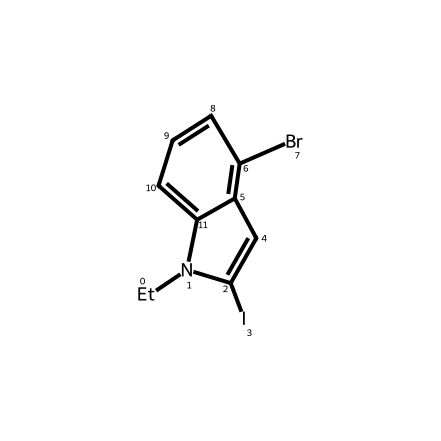 CCn1c(I)cc2c(Br)cccc21